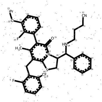 Cc1c(Cc2c(F)cccc2C(F)(F)F)c2n(c(=O)c1-c1cccc(OC(C)C)c1F)C(C(NCCCC#N)c1ccccc1)CS2